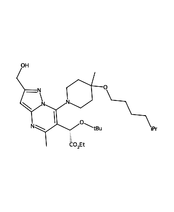 CCOC(=O)[C@@H](OC(C)(C)C)c1c(C)nc2cc(CO)nn2c1N1CCC(C)(OCCCCC(C)C)CC1